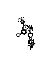 O=S1(=O)CC(N2Cc3cc(Cl)ccc3-n3c(nnc3C3CCN(c4ccc(C(F)(F)F)c(F)n4)CC3)C2)C1